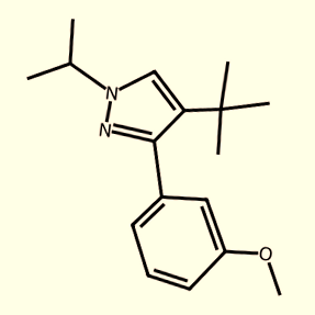 COc1cccc(-c2nn(C(C)C)cc2C(C)(C)C)c1